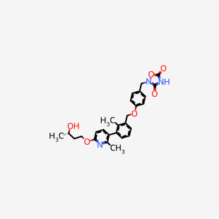 Cc1nc(OCC[C@H](C)O)ccc1-c1cccc(COc2ccc(Cn3oc(=O)[nH]c3=O)cc2)c1C